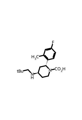 Cc1cc(F)ccc1[C@H]1C[C@H](NCC(C)(C)C)CCN1C(=O)O